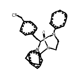 O=P1(C(c2ccc(Cl)cc2)N2CCCCC2)N(c2ccccc2)CCN1c1ccccc1